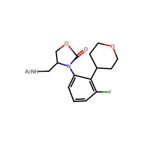 CC(=O)NCC1COC(=O)N1c1cccc(F)c1C1CCOCC1